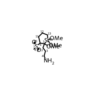 COC1(CCCN)C(S(C)(=O)=O)CCC[Si]1(OC)OC